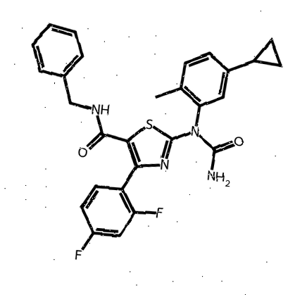 Cc1ccc(C2CC2)cc1N(C(N)=O)c1nc(-c2ccc(F)cc2F)c(C(=O)NCc2ccccc2)s1